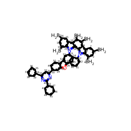 Bc1cc(B)c2c(c1)c1c(B)c(B)c3c4cc(B)cc(B)c4n(-c4ccc5oc6cc(-c7cc(-c8ccccc8)nc(-c8ccccc8)n7)ccc6c5c4)c3c1n2-c1ccccc1